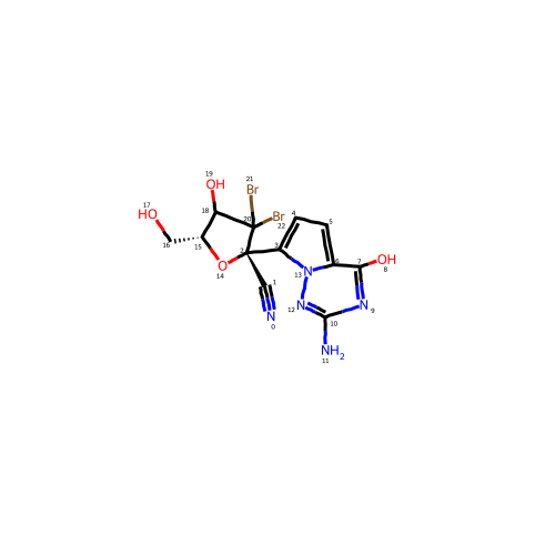 N#C[C@@]1(c2ccc3c(O)nc(N)nn23)O[C@H](CO)C(O)C1(Br)Br